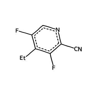 CCc1c(F)cnc(C#N)c1F